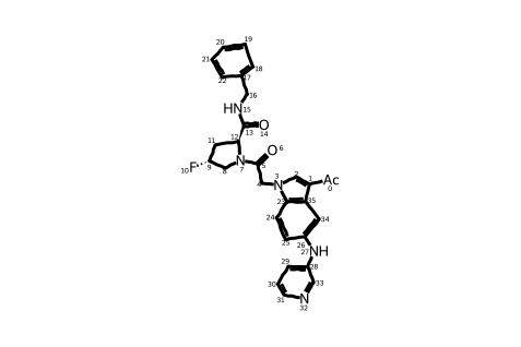 CC(=O)c1cn(CC(=O)N2C[C@H](F)C[C@H]2C(=O)NCc2ccccc2)c2ccc(Nc3cccnc3)cc12